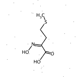 CSCCC(=NO)C(=O)O